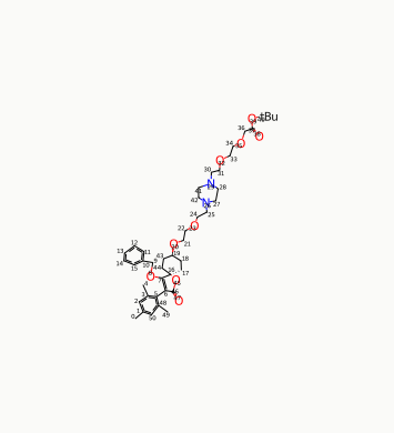 Cc1cc(C)c(C2=C(OCc3ccccc3)[C@]3(CC[C@H](OCCOCCN4CCN(CCOCCOCC(=O)OC(C)(C)C)CC4)CC3)OC2=O)c(C)c1